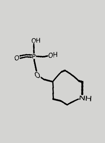 O=P(O)(O)OC1CCNCC1